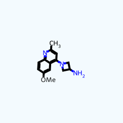 COc1ccc2nc(C)cc(N3CC(N)C3)c2c1